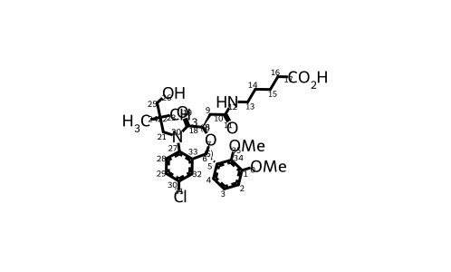 COc1cccc([C@H]2O[C@H](CC(=O)NCCCCC(=O)O)C(=O)N(CC(C)(C)CO)c3ccc(Cl)cc32)c1OC